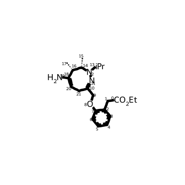 CCOC(=O)Cc1ccccc1OC/C1=N/N(C(C)C)[C@@H](C)[C@@H](C)/C(N)=C\C1